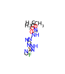 CC(C)(C)OC(=O)N1CC[C@H]1C(=O)NCCn1cnc2cnc(Nc3ncc(-c4ncccc4F)s3)cc21